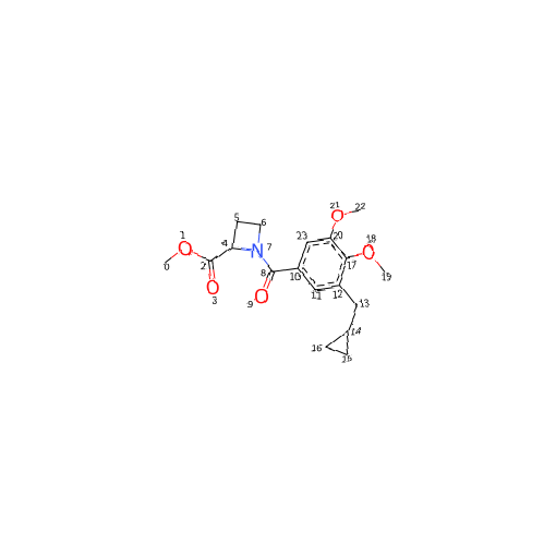 COC(=O)C1CCN1C(=O)c1cc(CC2CC2)c(OC)c(OC)c1